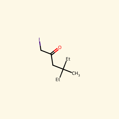 CCC(C)(CC)CC(=O)CI